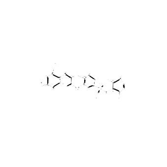 O=C1Nc2cc(S(=O)(=O)Cc3c(Cl)cccc3Cl)ccc2S/C1=C/c1ccc(Cl)cc1Cl